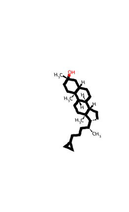 C[C@H](CCCC1CC1)[C@H]1CC[C@H]2[C@@H]3CC[C@H]4C[C@@](C)(O)CC[C@]4(C)[C@H]3CC[C@]12C